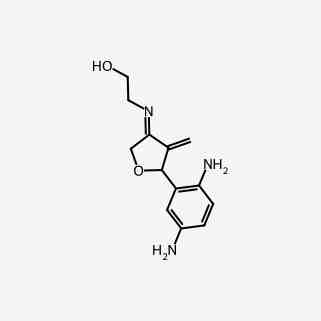 C=C1C(=NCCO)COC1c1cc(N)ccc1N